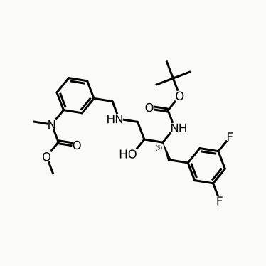 COC(=O)N(C)c1cccc(CNCC(O)[C@H](Cc2cc(F)cc(F)c2)NC(=O)OC(C)(C)C)c1